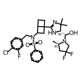 C[C@@H]1CC(F)(F)CN1C(O)[C@@H]1NC(C23CCC2C(N(Cc2ccc(Cl)c(F)c2)S(=O)(=O)c2ccccc2)C3)=NC1(C)C